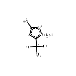 Oc1cc(C(F)(F)C(F)(F)F)no1.[NaH]